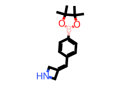 CC1(C)OB(c2ccc(C=C3CNC3)cc2)OC1(C)C